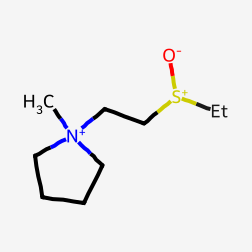 CC[S+]([O-])CC[N+]1(C)CCCC1